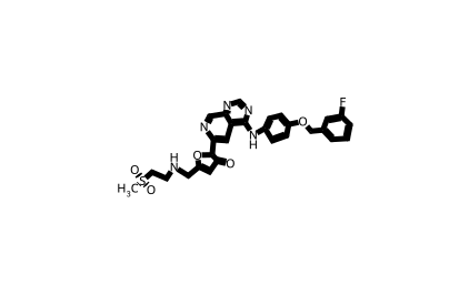 CS(=O)(=O)CCNCC1=CC(=O)C(c2cc3c(Nc4ccc(OCc5cccc(F)c5)cc4)ncnc3cn2)O1